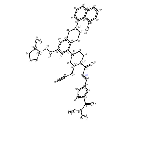 CN(C)C(=O)c1cn(/C=C/C(=O)N2CCN(c3nc(OC[C@@H]4CCCN4C)nc4c3CCN(c3cccc5cccc(Cl)c35)C4)C[C@@H]2CC#N)cn1